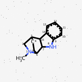 CN1CC2CCC1C1Nc3ccccc3C21